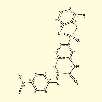 O=C1Nc2cc(S(=O)(=O)Cc3c(Br)cccc3Br)ccc2S/C1=C\c1ccc([N+](=O)[O-])cc1